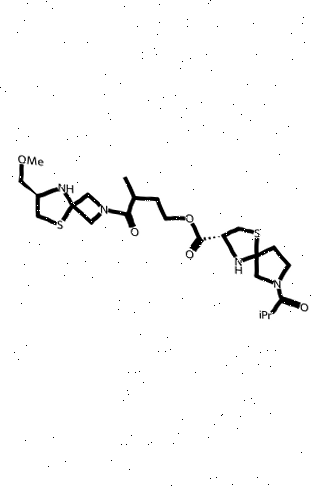 COC[C@@H]1CSC2(CN(C(=O)C(C)CCOC(=O)[C@@H]3CSC4(CCN(C(=O)C(C)C)C4)N3)C2)N1